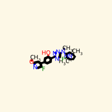 COc1cc(-c2ccc(-c3ncc(N(C)[C@H]4C[C@]5(C)CC[C@@](C)(N5)[C@H]4F)nn3)c(O)c2)c(F)cn1